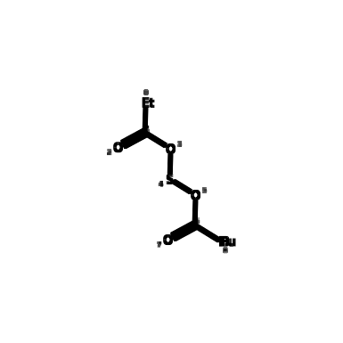 CCC(=O)OSOC(=O)C(C)CC